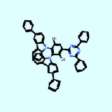 N#Cc1cc(-c2nc(-c3ccccc3)nc(-c3ccccc3)n2)c(C#N)c(-n2c3ccccc3c3cc(-c4ccccc4)ccc32)c1-n1c2ccccc2c2cc(-c3ccccc3)ccc21